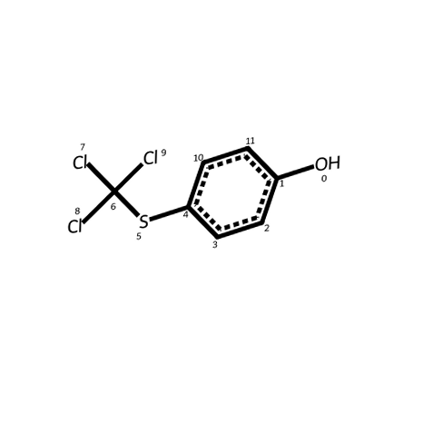 Oc1ccc(SC(Cl)(Cl)Cl)cc1